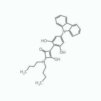 CCCCN(CCCC)C1C(=O)C(c2c(O)cc(-n3c4ccccc4c4ccccc43)cc2O)=C1O